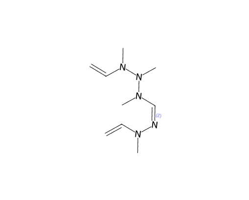 C=CN(C)/N=C\N(C)N(C)N(C)C=C